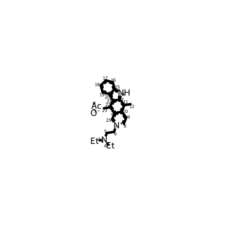 CC(=O)[O-].CCN(CC)CC[n+]1ccc2c(C)c3[nH]c4ccccc4c3c(C)c2c1